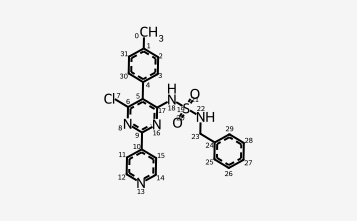 Cc1ccc(-c2c(Cl)nc(-c3ccncc3)nc2NS(=O)(=O)NCc2ccccc2)cc1